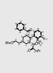 CCCC(=O)N(C)[C@@H]1CN(CCOC)C[C@H](C(=O)c2ccccc2)[C@H]1c1cccc(F)c1C